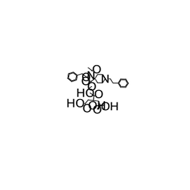 COC(=O)C1(N(OCc2ccccc2)C(C)=O)CCN(CCc2ccccc2)CC1.O=C(O)CC(O)(CC(=O)O)C(=O)O